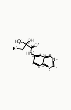 CC(O)(CBr)C(=O)Nc1ccc2ncncc2c1